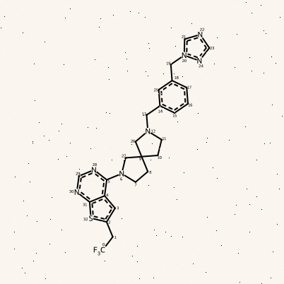 FC(F)(F)Cc1cc2c(N3CCC4(CCN(Cc5cccc(Cn6cncn6)c5)C4)C3)ncnc2s1